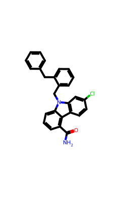 NC(=O)c1cccc2c1c1[c]cc(Cl)cc1n2Cc1ccccc1Cc1ccccc1